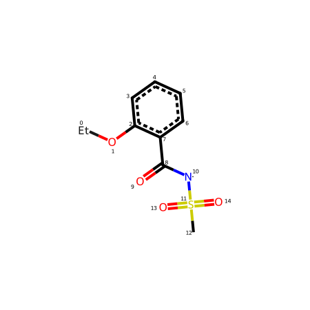 CCOc1ccccc1C(=O)[N]S(C)(=O)=O